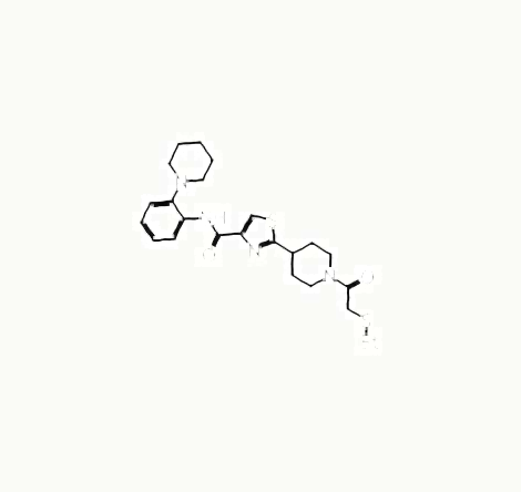 CCSCC(=O)N1CCC(c2nc(C(=O)Nc3ccccc3N3CCCCC3)cs2)CC1